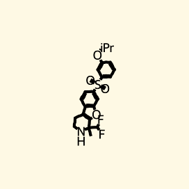 CC(C)Oc1cccc(S(=O)(=O)c2ccc3c4c(oc3c2)C(C)(C(F)F)NCC4)c1